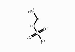 CCCCO[S](=O)(=O)[Zn]